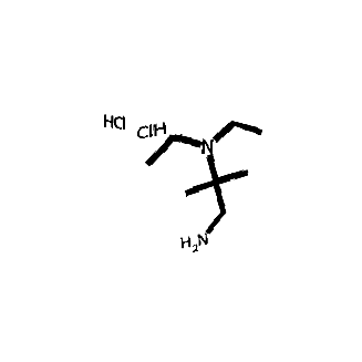 CCN(CC)C(C)(C)CN.Cl.Cl